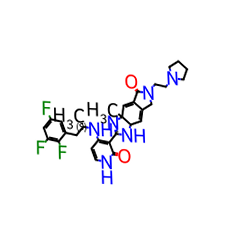 C[C@@H](Cc1cc(F)cc(F)c1F)Nc1cc[nH]c(=O)c1C1=NC2(C)C=C3C(=O)N(CCN4CCCC4)CC3=CC2N1